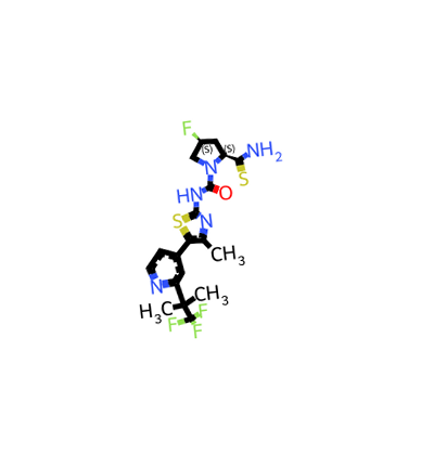 Cc1nc(NC(=O)N2C[C@@H](F)C[C@H]2C(N)=S)sc1-c1ccnc(C(C)(C)C(F)(F)F)c1